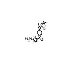 CC(C)(C)NC(=O)OC1CCN(C(=O)c2csc(N)n2)CC1